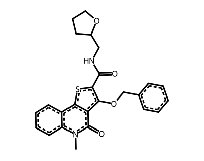 Cn1c(=O)c2c(OCc3ccccc3)c(C(=O)NCC3CCCO3)sc2c2ccccc21